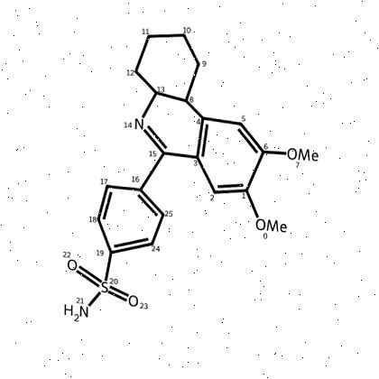 COc1cc2c(cc1OC)C1CCCCC1N=C2c1ccc(S(N)(=O)=O)cc1